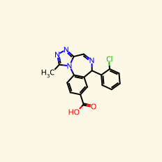 Cc1nnc2n1-c1ccc(C(=O)O)cc1C(c1ccccc1Cl)N=C2